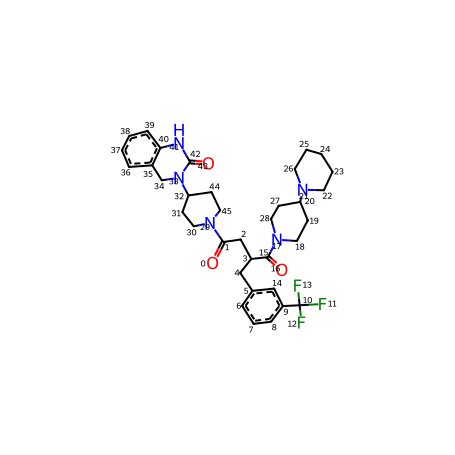 O=C(CC(Cc1cccc(C(F)(F)F)c1)C(=O)N1CCC(N2CCCCC2)CC1)N1CCC(N2Cc3ccccc3NC2=O)CC1